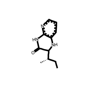 CC[C@H](C)C1Nc2cccnc2NC1=O